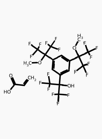 C=CC(=O)O.COC(c1cc(C(O)(C(F)(F)F)C(F)(F)F)cc(C(OC)(C(F)(F)F)C(F)(F)F)c1)(C(F)(F)F)C(F)(F)F